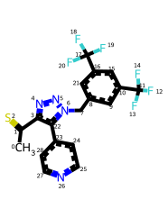 CC(=S)c1nnn(Cc2cc(C(F)(F)F)cc(C(F)(F)F)c2)c1-c1ccncc1